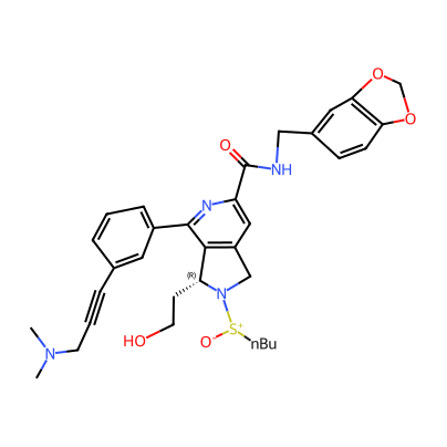 CCCC[S+]([O-])N1Cc2cc(C(=O)NCc3ccc4c(c3)OCO4)nc(-c3cccc(C#CCN(C)C)c3)c2[C@H]1CCO